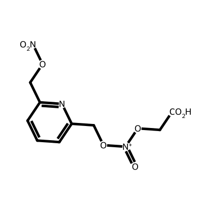 O=C(O)CO[N+](=O)OCc1cccc(CO[N+](=O)[O-])n1